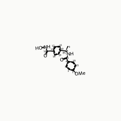 COc1ccc(C(=O)N[C@H](C)c2ccc(C(=O)NO)cc2)cc1